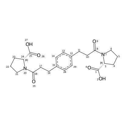 O=C(O)[C@H]1CCCN1C(=O)CCc1ccc(CCC(=O)N2CCC[C@@H]2C(=O)O)cc1